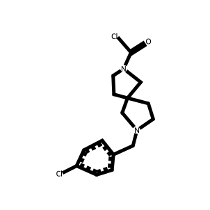 O=C(Cl)N1CCC2(CCN(Cc3ccc(Cl)cc3)C2)C1